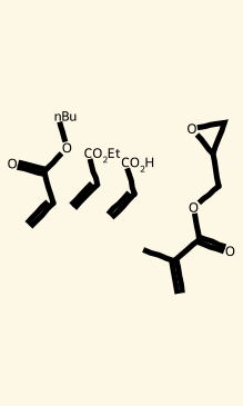 C=C(C)C(=O)OCC1CO1.C=CC(=O)O.C=CC(=O)OCC.C=CC(=O)OCCCC